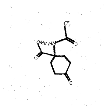 COC(=O)C1(NC(=O)C(F)(F)F)CCC(=O)CC1